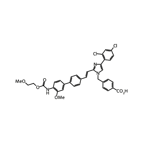 COCCOC(=O)Nc1ccc(-c2ccc(/C=C/c3nc(-c4ccc(Cl)cc4Cl)cn3Cc3ccc(C(=O)O)cc3)cc2)cc1OC